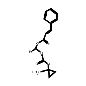 CC(C)C(OC(=O)/C=C/c1ccccc1)OC(=O)NC1(C(=O)O)CC1